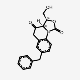 O=C1Cc2cc(Cc3ccccc3)ccc2N2C(=O)O[C@H](CO)[C@H]12